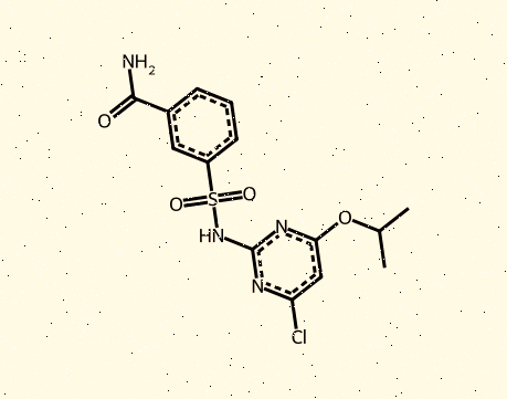 CC(C)Oc1cc(Cl)nc(NS(=O)(=O)c2cccc(C(N)=O)c2)n1